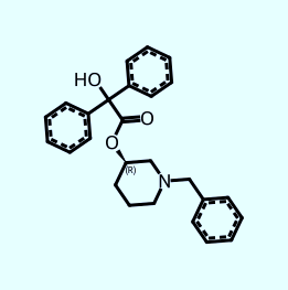 O=C(O[C@@H]1CCCN(Cc2ccccc2)C1)C(O)(c1ccccc1)c1ccccc1